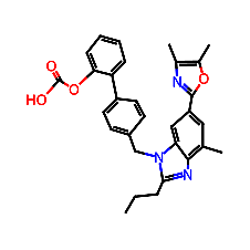 CCCc1nc2c(C)cc(-c3nc(C)c(C)o3)cc2n1Cc1ccc(-c2ccccc2OC(=O)O)cc1